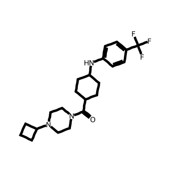 O=C(C1CCC(Nc2ccc(C(F)(F)F)cc2)CC1)N1CCN(C2CCC2)CC1